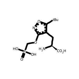 CC(C)(C)c1onc(OCP(=O)(O)O)c1C[C@H](N)C(=O)O